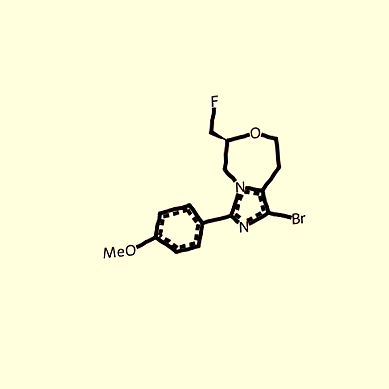 COc1ccc(-c2nc(Br)c3n2C[C@@H](CF)OCC3)cc1